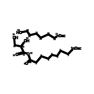 CCCCCCCCCCCCCCCCCC(=O)OC(=O)C(O)CO.CCCCCCCCCCCCCCCCO